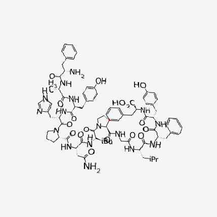 CC[C@H](C)[C@H](NC(=O)[C@H](CC(N)=O)NC(=O)[C@@H]1CCCN1C(=O)[C@H](Cc1c[nH]cn1)NC(=O)[C@H](Cc1ccc(O)cc1)NC(=O)[C@H](C)NC(=O)[C@@H](N)Cc1ccccc1)C(=O)N1CCC[C@H]1C(=O)NCC(=O)N[C@@H](CC(C)C)C(=O)N[C@@H](Cc1ccccc1)C(=O)N[C@@H](Cc1ccc(O)cc1)C(=O)N[C@@H](Cc1ccccc1)C(=O)O